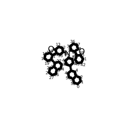 c1ccc2cc(-c3ccc(N(c4ccc5oc6cccc(-c7cccc8ccccc78)c6c5c4)c4cccc5oc6ccccc6c45)cc3)ccc2c1